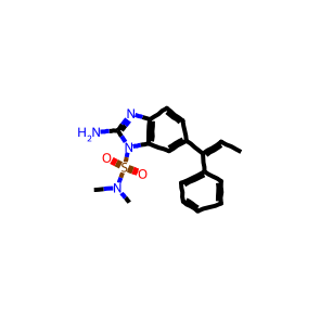 C/C=C(\c1ccccc1)c1ccc2nc(N)n(S(=O)(=O)N(C)C)c2c1